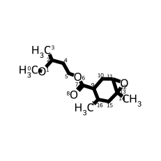 COC(C)CCOC(=O)C1CC2OC2(C)CC1C